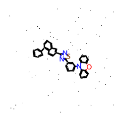 c1ccc(-c2cccc3cc(-c4nsc(-c5cccc(N6c7ccccc7Oc7ccccc76)c5)n4)ccc23)cc1